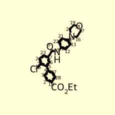 CCOC(=O)c1ccc(-c2cc(C(=O)Nc3ccc(N4CCOCC4)cc3)ccc2Cl)cc1